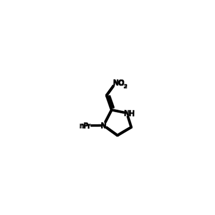 CCCN1CCNC1=C[N+](=O)[O-]